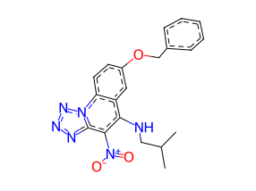 CC(C)CNc1c([N+](=O)[O-])c2nnnn2c2ccc(OCc3ccccc3)cc12